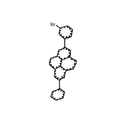 Brc1cccc(-c2cc3ccc4cc(-c5ccccc5)cc5ccc(c2)c3c45)c1